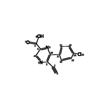 C#Cc1ncc(C(=O)O)nc1-c1ccc(Cl)cc1